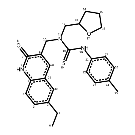 CCc1ccc2[nH]c(=O)c(CN(CC3CCCO3)C(=S)Nc3ccc(C)cc3)cc2c1